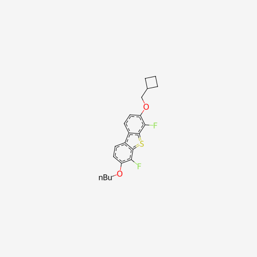 CCCCOc1ccc2c(sc3c(F)c(OCC4CCC4)ccc32)c1F